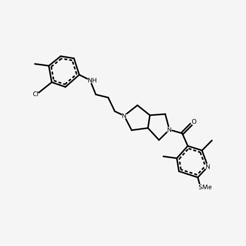 CSc1cc(C)c(C(=O)N2CC3CN(CCCNc4ccc(C)c(Cl)c4)CC3C2)c(C)n1